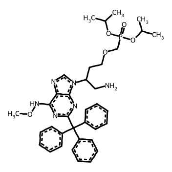 CONc1nc(C(c2ccccc2)(c2ccccc2)c2ccccc2)nc2c1ncn2C(CN)CCOCP(=O)(OC(C)C)OC(C)C